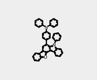 c1ccc(N(c2ccccc2)c2ccc(-c3cc4c5ccccc5oc4c4c5ccccc5n(-c5ccccc5)c34)cc2)cc1